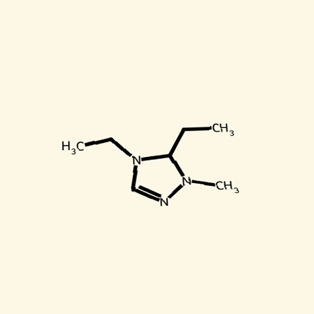 CCC1N(CC)C=NN1C